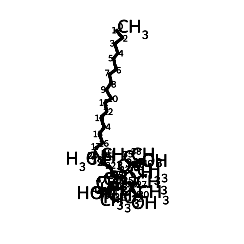 CCCCCCCCCCCCCCCCCC[N+](C)(C)CCC[Si](OC(C)(C)C(C)(C)O)(OC(C)(C)C(C)(C)O)OC(C)(C)C(C)(C)O